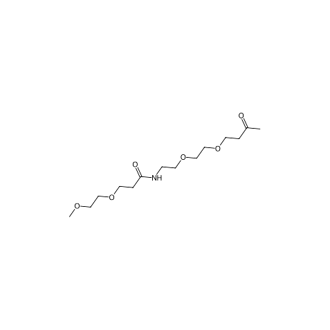 COCCOCCC(=O)NCCOCCOCCC(C)=O